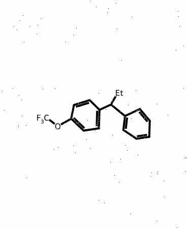 CCC(c1ccccc1)c1ccc(OC(F)(F)F)cc1